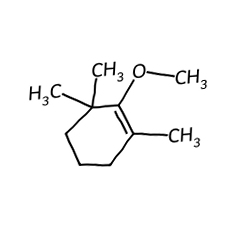 COC1=C(C)CCCC1(C)C